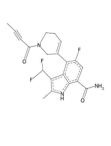 CC#CC(=O)N1CCC=C(c2c(F)cc(C(N)=O)c3[nH]c(C)c(C(F)F)c23)C1